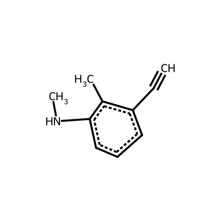 C#Cc1cccc(NC)c1C